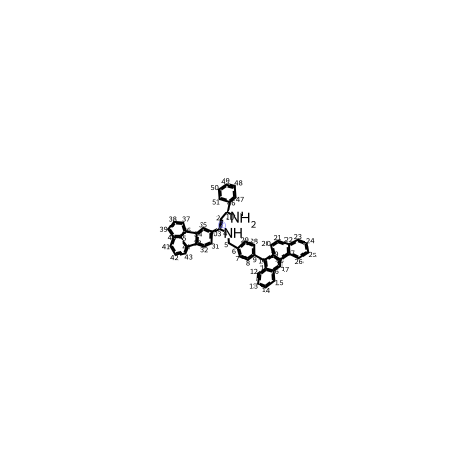 NC(/C=C(\NCc1ccc(-c2c3ccccc3cc3c2ccc2ccccc23)cc1)c1ccc2c(c1)-c1cccc3cccc-2c13)c1ccccc1